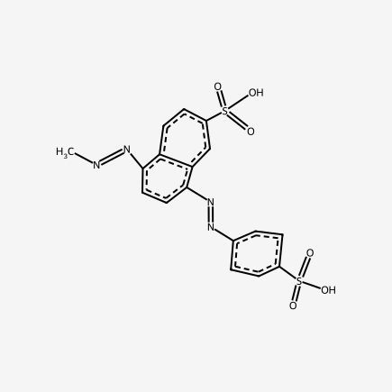 CN=Nc1ccc(N=Nc2ccc(S(=O)(=O)O)cc2)c2cc(S(=O)(=O)O)ccc12